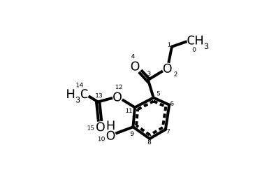 CCOC(=O)c1cccc(O)c1OC(C)=O